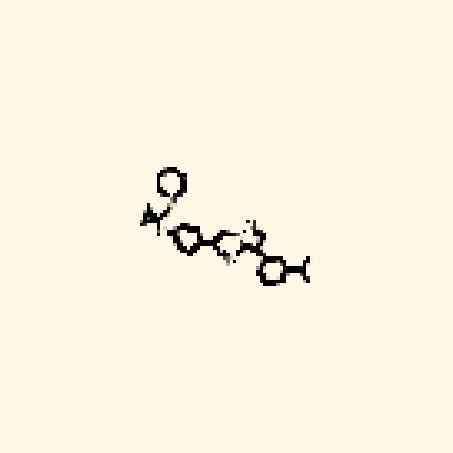 CC(C)c1cccc(-c2cnn3cc(-c4ccc(OC5(CN6CCCCC6)CC5)cc4)cnc23)c1